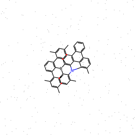 Cc1cc(C)c(-c2cccc(-c3c(C)cc(C)cc3C)c2B2c3cccc(C)c3-n3c4c(C)ccc5c6ccccc6c6ccc2c3c6c54)c(C)c1